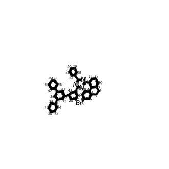 Brc1ccc2c(c1)CCc1cccc(-c3nc(-c4ccccc4)nc(-c4cccc(-c5cc(-c6ccccc6)cc(-c6ccccc6)c5)c4)n3)c1-2